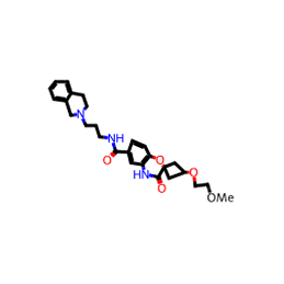 COCCOC1CC2(C1)Oc1ccc(C(=O)NCCCN3CCc4ccccc4C3)cc1NC2=O